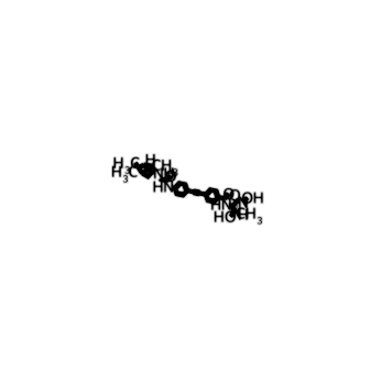 C[C@@H]1C(NCC(=O)Nc2ccc(C#Cc3ccc(C(=O)N[C@H](C(=O)NO)[C@@H](C)O)cc3)cc2)CC2CC1C2(C)C